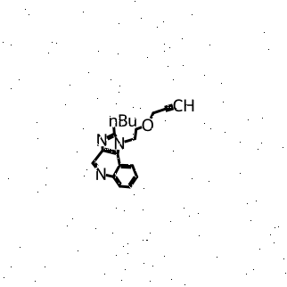 C#CCOCCn1c(CCCC)nc2cnc3ccccc3c21